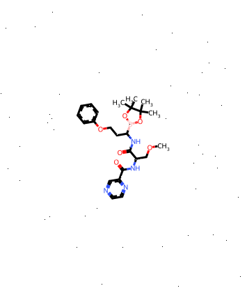 COCC(NC(=O)c1cnccn1)C(=O)NC(CCOc1ccccc1)B1OC(C)(C)C(C)(C)O1